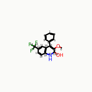 COC1=C(c2ccccc2)c2cc(C(F)(F)F)ccc2NC1O